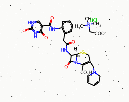 C[N+](C)(C)CC(=O)[O-].Cl.O=C(Cc1ccccc1NC(=O)c1c[nH]c(=O)[nH]c1=O)NC1C(=O)N2C(C(=O)O)=C(CN3C=CC=CC3)CS[C@H]12